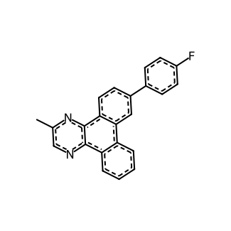 Cc1cnc2c3ccccc3c3cc(-c4ccc(F)cc4)ccc3c2n1